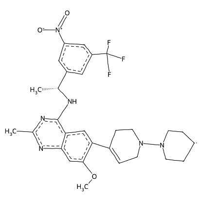 COc1cc2nc(C)nc(N[C@H](C)c3cc([N+](=O)[O-])cc(C(F)(F)F)c3)c2cc1C1=CCN(N2CC[CH]CC2)CC1